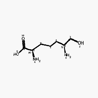 N[C@H](CO)CCC[C@@H](N)C(=O)O